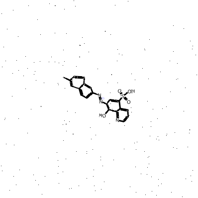 Cc1ccc2cc(/N=N/c3cc(S(=O)(=O)O)c4cccnc4c3O)ccc2c1